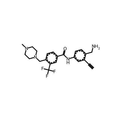 C#Cc1cc(NC(=O)c2ccc(CN3CCN(C)CC3)c(C(F)(F)F)c2)ccc1CN